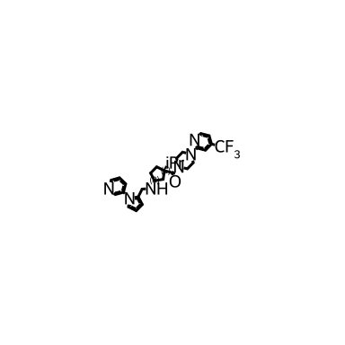 CC(C)[C@]1(C(=O)N2CCN(c3cc(C(F)(F)F)ccn3)CC2)CC[C@@H](NCc2cccn2-c2cccnc2)C1